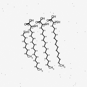 CCCCCCCCCCCCCCC(S)C(=O)O.CCCCCCCCCCCCCCC(S)C(=O)O.CCCCCCCCCCCCCCC(S)C(=O)O.CCCCCCC[CH2][SnH]